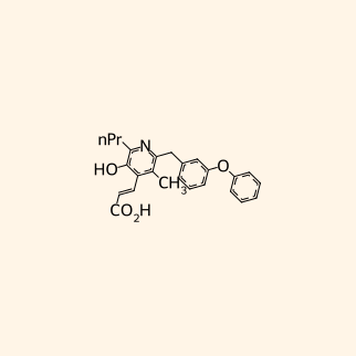 CCCc1nc(Cc2cccc(Oc3ccccc3)c2)c(C)c(C=CC(=O)O)c1O